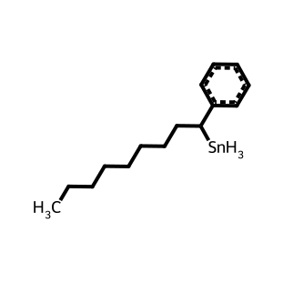 CCCCCCCC[CH]([SnH3])c1ccccc1